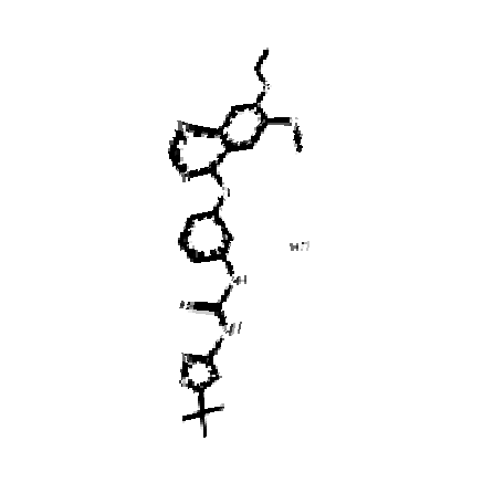 CCOc1cc2ncnc(Oc3cccc(NC(=O)Nc4cc(C(C)(C)C)on4)c3)c2cc1OC.Cl